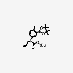 C=CCN(C(=O)OC(C)(C)C)c1ccc(C)c(B2OC(C)(C)C(C)(C)O2)c1